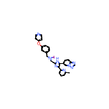 Cc1cccc(-c2nc(CN(I)Cc3cccc(Oc4ccncc4)c3)[nH]c2-c2ccc3ncnn3c2)n1